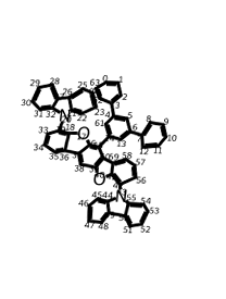 c1ccc(-c2cc(-c3ccccc3)cc(-c3c4oc5c(-n6c7ccccc7c7ccccc76)cccc5c4cc4oc5c(-n6c7ccccc7c7ccccc76)cccc5c34)c2)cc1